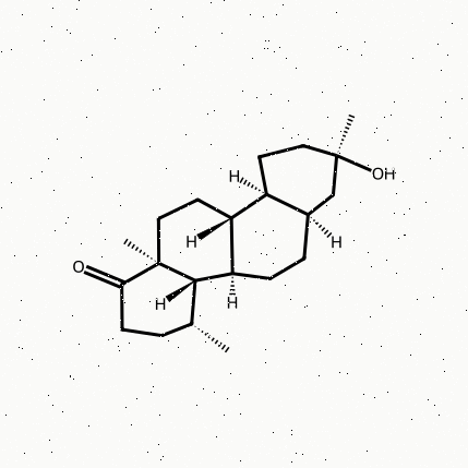 C[C@@H]1CCC(=O)[C@@]2(C)CC[C@H]3[C@@H](CC[C@@H]4C[C@](C)(O)CC[C@@H]43)[C@H]12